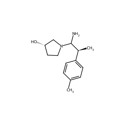 Cc1ccc([C@H](C)C(N)N2CC[C@H](O)C2)cc1